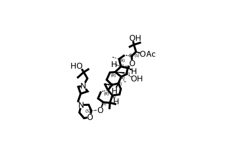 CC(=O)O[C@@H]([C@H]1C[C@@H](C)[C@H]2[C@H](O1)[C@H](O)[C@@]1(C)[C@@H]3CC[C@H]4C(C)(C)[C@@H](O[C@H]5CN(CC6CN(CC(C)(C)O)C6)CCO5)CC[C@@]45C[C@@]35CC[C@]21C)C(C)(C)O